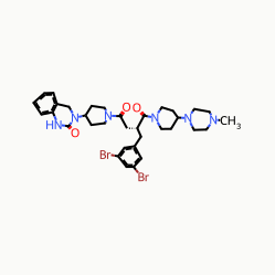 CN1CCN(C2CCN(C(=O)[C@@H](CC(=O)N3CCC(N4Cc5ccccc5NC4=O)CC3)Cc3cc(Br)cc(Br)c3)CC2)CC1